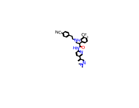 C=C(/C=N\N(C)C)c1ccc(NC(=O)C(CNCCc2ccc(C#N)cc2)c2cccc(C(F)(F)F)c2)nc1